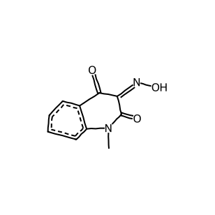 CN1C(=O)/C(=N\O)C(=O)c2ccccc21